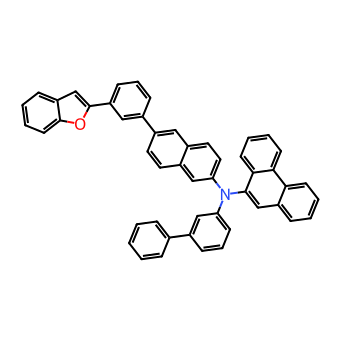 c1ccc(-c2cccc(N(c3ccc4cc(-c5cccc(-c6cc7ccccc7o6)c5)ccc4c3)c3cc4ccccc4c4ccccc34)c2)cc1